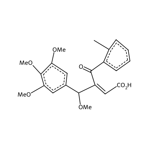 COc1cc(C(OC)/C(=C/C(=O)O)C(=O)c2ccccc2C)cc(OC)c1OC